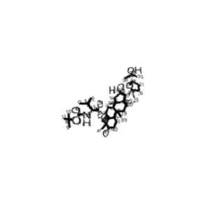 CC(C)[C@H](NC(=O)OC(C)(C)C)C(=O)O[C@H]1CC2C3(CC[C@]4(C)[C@@H]([C@@]5(C)CC[C@@H](C(C)(C)O)O5)[C@@H](O)C[C@@]24C)C[C@@]32CCC(=O)C(C)(C)[C@H]12